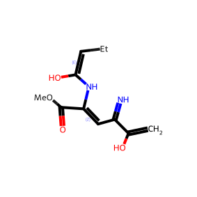 C=C(O)C(=N)/C=C(\N/C(O)=C\CC)C(=O)OC